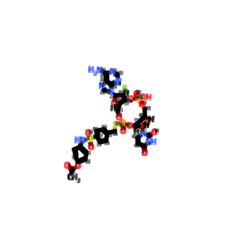 CC(=O)Oc1ccc(NS(=O)(=O)c2ccc(CSP3(=O)OC[C@H]4O[C@@H](n5cnc6c(N)ncnc65)[C@H](F)[C@@H]4OP(=O)(O)OC[C@H]4O[C@@H](n5ccc(=O)[nH]c5=O)[C@H](O3)[C@@H]4F)cc2)cc1